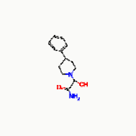 NC(=O)C(O)N1CCC(c2ccccc2)CC1